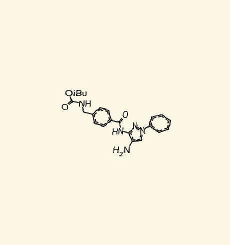 CC(C)COC(=O)NCc1ccc(C(=O)Nc2nn(-c3ccccc3)cc2N)cc1